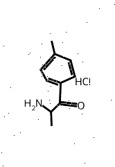 Cc1ccc(C(=O)C(C)N)cc1.Cl